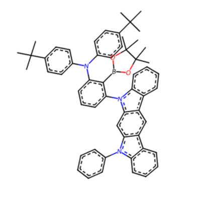 CC(C)(C)c1ccc(N(c2ccc(C(C)(C)C)cc2)c2cccc(-n3c4ccccc4c4cc5c6ccccc6n(-c6ccccc6)c5cc43)c2B2OC(C)(C)C(C)(C)O2)cc1